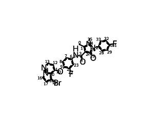 Cc1c(C(=O)Nc2ccc(Oc3ccnn4ccc(Br)c34)c(F)c2)c(=O)n(-c2ccc(F)cc2)n1C